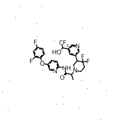 CC(C(=O)Nc1ccc(Oc2ccc(F)cc2F)cn1)N1CCC(F)(F)C(c2cncc(C(O)C(F)(F)F)c2)C1